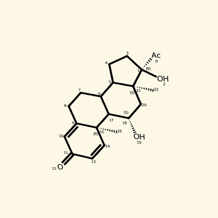 [CH2]C(=O)[C@@]1(O)CCC2C3CCC4=CC(=O)C=C[C@]4(C)C3[C@@H](O)C[C@@]21C